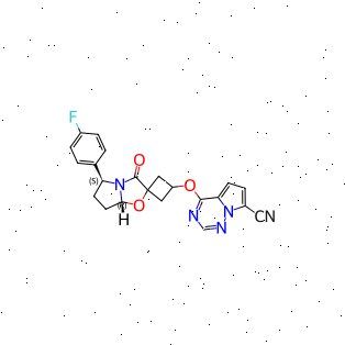 N#Cc1ccc2c(OC3CC4(C3)O[C@@H]3CC[C@@H](c5ccc(F)cc5)N3C4=O)ncnn12